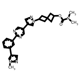 CN(C)C(=O)OC1CC2(C1)CC(n1cc(-c3cnc(-c4cccc(-c5cnn(C)c5)c4)nc3)cn1)C2